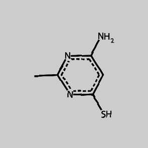 Cc1nc(N)cc(S)n1